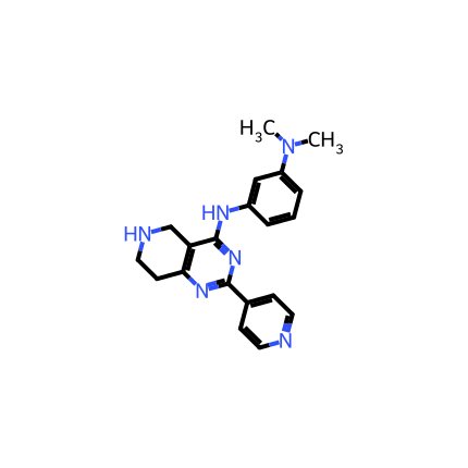 CN(C)c1cccc(Nc2nc(-c3ccncc3)nc3c2CNCC3)c1